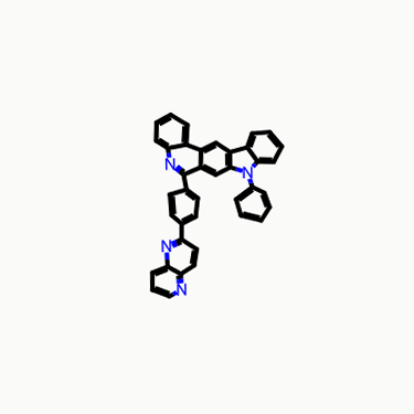 c1ccc(-n2c3ccccc3c3cc4c(cc32)c(-c2ccc(-c3ccc5ncccc5n3)cc2)nc2ccccc24)cc1